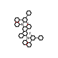 Fc1cc(-c2ccccc2)cc(-c2ccccc2)c1N(c1ccccc1)c1cc2c3ccccc3c(N(c3ccccc3)c3c(F)cc(-c4ccccc4)cc3-c3ccccc3)cc2c2ccccc12